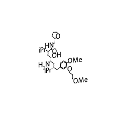 COCCCOc1cc(C[C@@H](C[C@H](N)[C@@H](O)C[C@H](C(=O)NC[C@@H]2CCCO2)C(C)C)C(C)C)ccc1OC